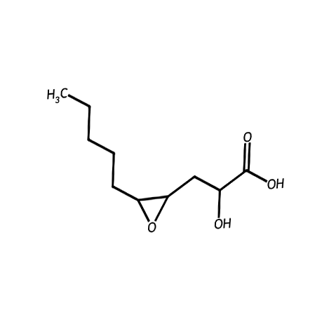 CCCCCC1OC1CC(O)C(=O)O